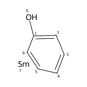 Oc1ccccc1.[Sm]